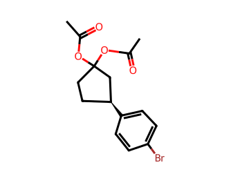 CC(=O)OC1(OC(C)=O)CC[C@H](c2ccc(Br)cc2)C1